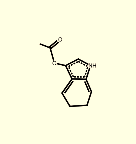 CC(=O)Oc1c[nH]c2c1=CCCC=2